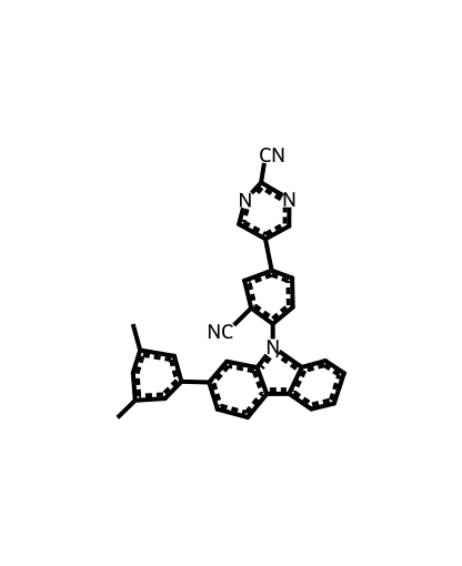 Cc1cc(C)cc(-c2ccc3c4ccccc4n(-c4ccc(-c5cnc(C#N)nc5)cc4C#N)c3c2)c1